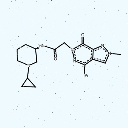 CC(C)c1nn(CC(=O)N[C@@H]2CCCN(C3CC3)C2)c(=O)c2nn(C)cc12